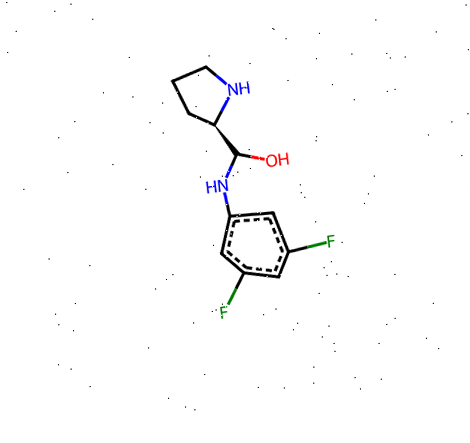 OC(Nc1cc(F)cc(F)c1)[C@H]1CCCN1